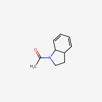 CC(=O)N1CCC2C=C[C]=CC21